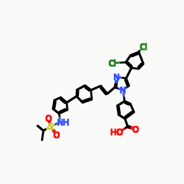 CC(C)S(=O)(=O)Nc1cccc(-c2ccc(C=Cc3nc(-c4ccc(Cl)cc4Cl)cn3-c3ccc(C(=O)O)cc3)cc2)c1